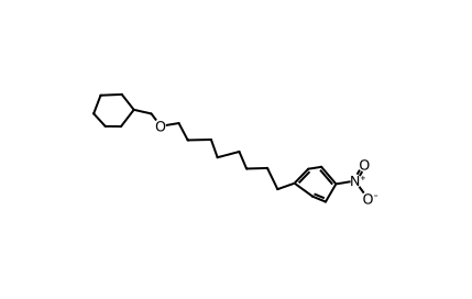 O=[N+]([O-])c1ccc(CCCCCCCCOCC2CCCCC2)cc1